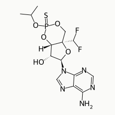 CC(C)OP1(=S)OC[C@@]2(C(F)F)O[C@@H](n3cnc4c(N)ncnc43)[C@H](O)[C@@H]2O1